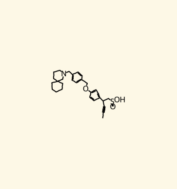 CC#CC(CS(=O)O)c1ccc(OCc2ccc(CN3CCCC4(CCCCC4)C3)cc2)cc1